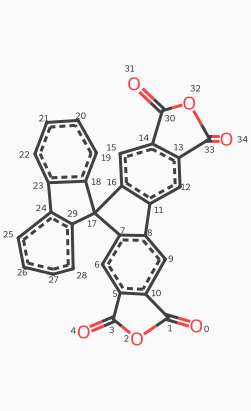 O=C1OC(=O)c2cc3c(cc21)-c1cc2c(cc1C31c3ccccc3-c3ccccc31)C(=O)OC2=O